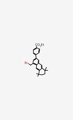 CCOC(=O)c1ccc(-c2cc(CBr)c3cc4c(cc3c2)C(C)(C)CCC4(C)C)cc1